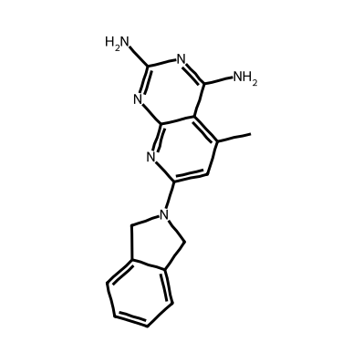 Cc1cc(N2Cc3ccccc3C2)nc2nc(N)nc(N)c12